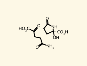 NC(=O)CCC(=O)C(=O)O.O=C1CC[C@@](O)(C(=O)O)N1